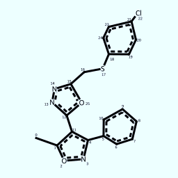 Cc1onc(-c2ccccc2)c1-c1nnc(CSc2ccc(Cl)cc2)o1